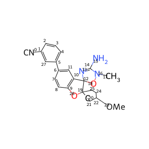 [C-]#[N+]c1cccc(-c2ccc3c(c2)C2(N=C(N)N(C)O2)C2(CCC(OC)CC2)O3)c1